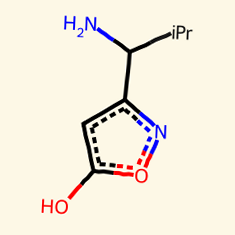 CC(C)C(N)c1cc(O)on1